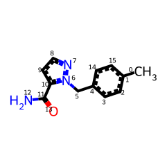 Cc1ccc(Cn2nccc2C(N)=O)cc1